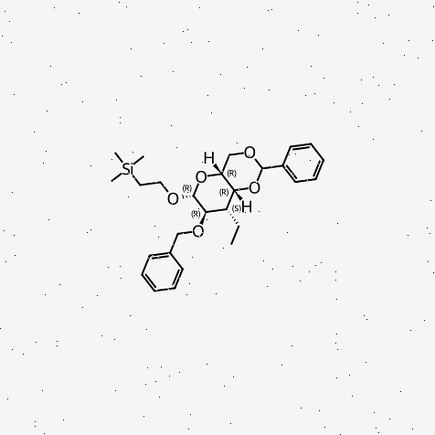 CC[C@H]1[C@H]2OC(c3ccccc3)OC[C@H]2O[C@@H](OCC[Si](C)(C)C)[C@@H]1OCc1ccccc1